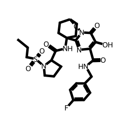 CCCS(=O)(=O)N1CCCC1C(=O)NC12CCC(CC1)Cn1c2nc(C(=O)NCc2ccc(F)cc2)c(O)c1=O